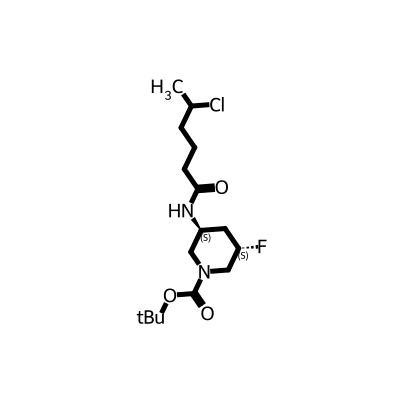 CC(Cl)CCCC(=O)N[C@H]1C[C@H](F)CN(C(=O)OC(C)(C)C)C1